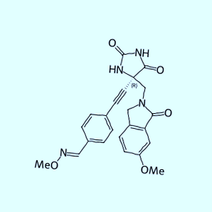 CON=Cc1ccc(C#C[C@]2(CN3Cc4ccc(OC)cc4C3=O)NC(=O)NC2=O)cc1